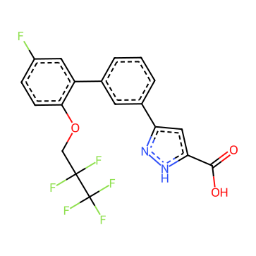 O=C(O)c1cc(-c2cccc(-c3cc(F)ccc3OCC(F)(F)C(F)(F)F)c2)n[nH]1